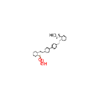 O=S(=O)(O)c1ccccc1C=Cc1ccc(-c2ccc(C=Cc3ccccc3SOOO)cc2)cc1